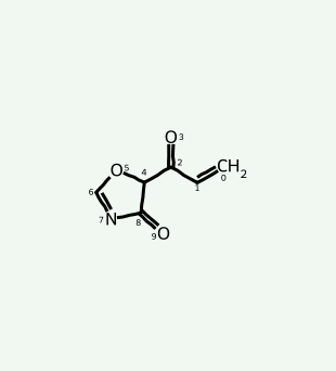 C=CC(=O)C1OC=NC1=O